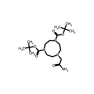 CC(C)(C)OC(=O)N1CCN(CC(N)=O)CCN(C(=O)OC(C)(C)C)CC1